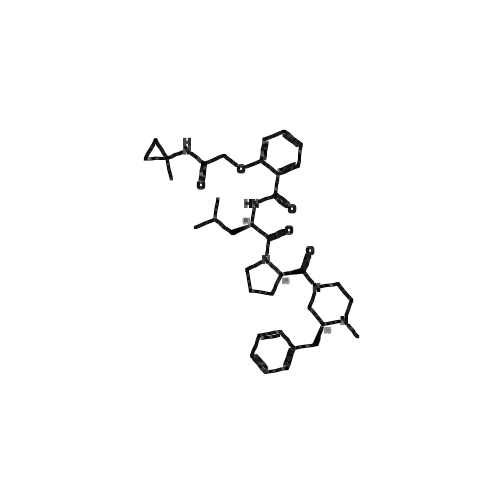 CC(C)C[C@@H](NC(=O)c1ccccc1OCC(=O)NC1(C)CC1)C(=O)N1CCC[C@@H]1C(=O)N1CCN(C)[C@@H](Cc2ccccc2)C1